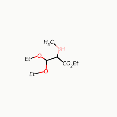 CBC(C(=O)OCC)C(OCC)OCC